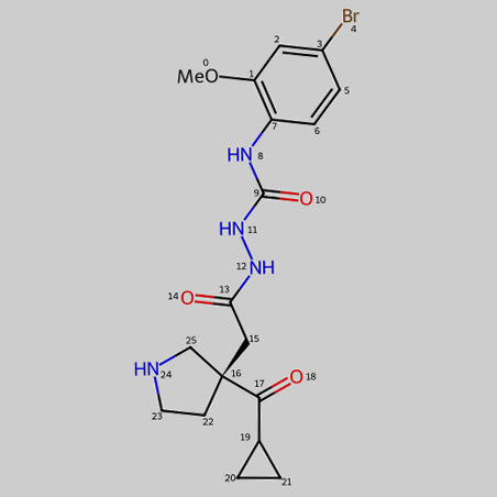 COc1cc(Br)ccc1NC(=O)NNC(=O)C[C@@]1(C(=O)C2CC2)CCNC1